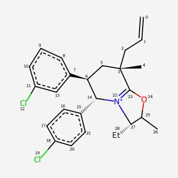 C=CC[C@@]1(C)C[C@H](c2cccc(Cl)c2)[C@@H](c2ccc(Cl)cc2)[N+]2=C1OC(C)[C@@H]2CC